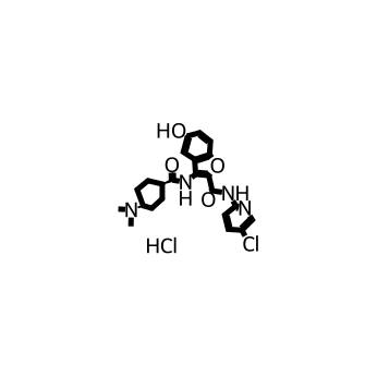 CN(C)[C@H]1CC[C@H](C(=O)Nc2c(C(=O)Nc3ccc(Cl)cn3)oc3ccc(O)cc23)CC1.Cl